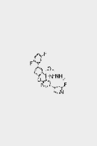 NC1=NC2(COC1)c1cc(-c3cc(F)ccc3F)ccc1Oc1ncc(-c3ccnc(F)c3)cc12